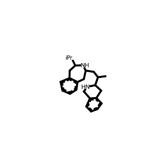 CC(C)C1Cc2ccccc2CC(CC(C)C2Cc3ccccc3CN2)N1